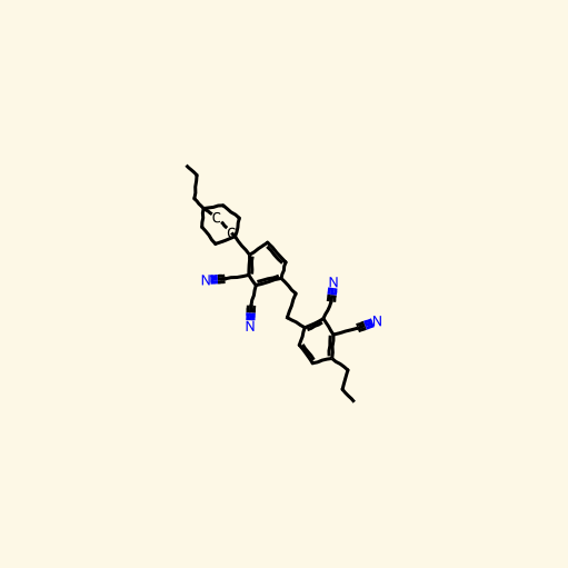 CCCc1ccc(CCc2ccc(C34CCC(CCC)(CC3)CC4)c(C#N)c2C#N)c(C#N)c1C#N